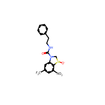 O=C(NCCc1ccccc1)N1C[S+]([O-])c2c1cc(C(F)(F)F)cc2[N+](=O)[O-]